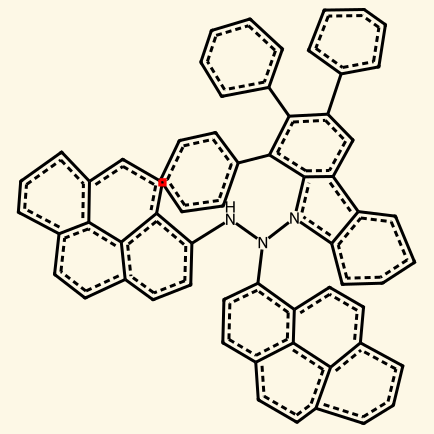 c1ccc(-c2cc3c4ccccc4n(N(Nc4ccc5ccc6cccc7ccc4c5c67)c4ccc5ccc6cccc7ccc4c5c67)c3c(-c3ccccc3)c2-c2ccccc2)cc1